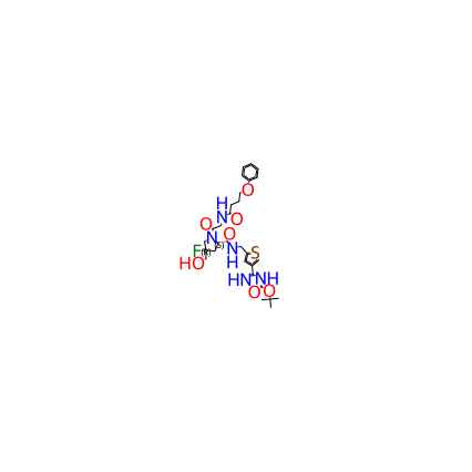 CC(C)(C)OC(=O)NC(=N)c1csc(CNC(=O)[C@@H]2C[C@](F)(CO)CN2C(=O)CNC(=O)CCCOc2ccccc2)c1